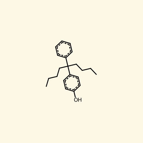 CCCCC(CCCC)(c1ccccc1)c1ccc(O)cc1